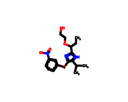 CCC(OCCO)c1nc(Sc2cccc([N+](=O)[O-])c2)c(C(C)C)[nH]1